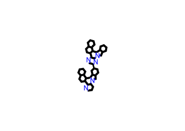 c1ccc2c(c1)ccc1c3ncccc3n3cc4ccc(-c5cnc6c7ccc8ccccc8c7c7c8ccccc8cn7c6n5)cc4c3c21